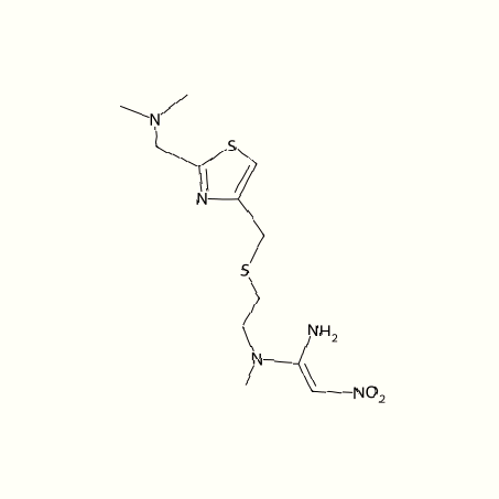 CN(C)Cc1nc(CSCCN(C)C(N)=C[N+](=O)[O-])cs1